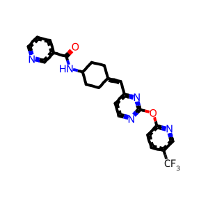 O=C(NC1CCC(=Cc2ccnc(Oc3ccc(C(F)(F)F)cn3)n2)CC1)c1cccnc1